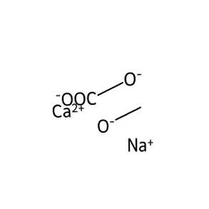 C[O-].O=C([O-])[O-].[Ca+2].[Na+]